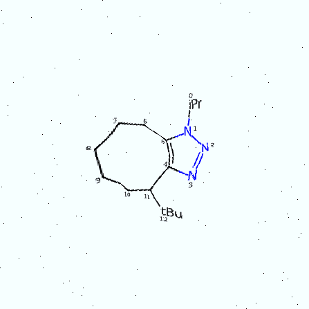 CC(C)n1nnc2c1CCCCCC2C(C)(C)C